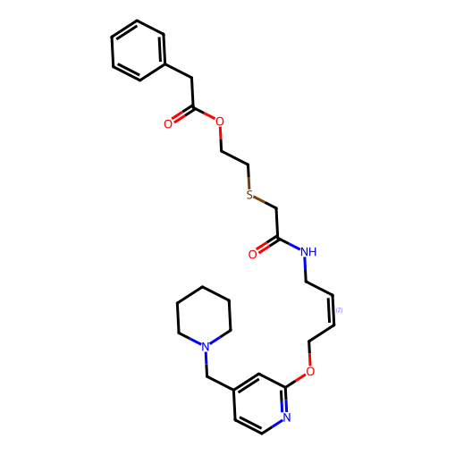 O=C(CSCCOC(=O)Cc1ccccc1)NC/C=C\COc1cc(CN2CCCCC2)ccn1